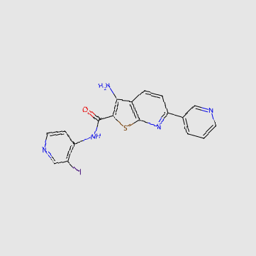 Nc1c(C(=O)Nc2ccncc2I)sc2nc(-c3cccnc3)ccc12